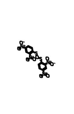 O=[N+]([O-])c1ccc(SOSc2ccc([N+](=O)[O-])cc2[N+](=O)[O-])c([N+](=O)[O-])c1